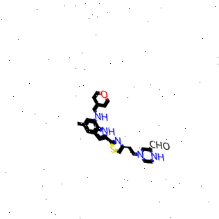 Cc1cc(NCC2CCOCC2)c2[nH]c(C3=N[C@@H](CCN4CCNC(C=O)C4)CS3)cc2c1